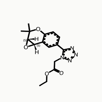 CCOC(=O)Cn1nnnc1-c1ccc2c(c1)[C@@H]1O[C@@H]1C(C)(C)O2